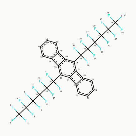 FC(F)(F)C(F)(F)C(F)(F)C(F)(F)C(F)(F)C(F)(F)c1c2c3ccccc3c2c(C(F)(F)C(F)(F)C(F)(F)C(F)(F)C(F)(F)C(F)(F)F)c2c3ccccc3c12